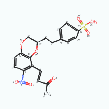 CC(=O)C=Cc1c([N+](=O)[O-])ccc2c1O[C@H](CCc1ccc(S(=O)(=O)O)cc1)CO2